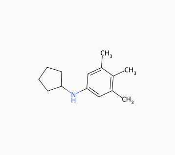 Cc1cc(NC2CCCC2)cc(C)c1C